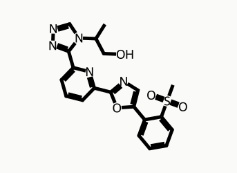 CC(CO)n1cnnc1-c1cccc(-c2ncc(-c3ccccc3S(C)(=O)=O)o2)n1